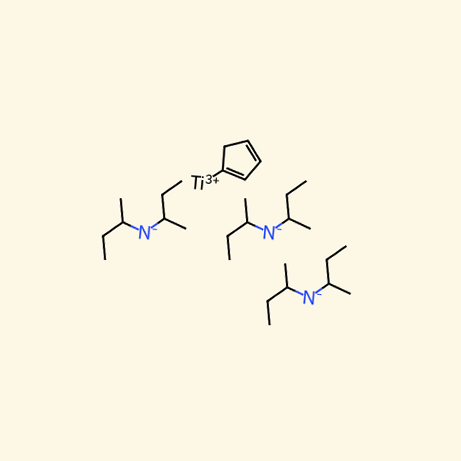 CCC(C)[N-]C(C)CC.CCC(C)[N-]C(C)CC.CCC(C)[N-]C(C)CC.[Ti+3][C]1=CC=CC1